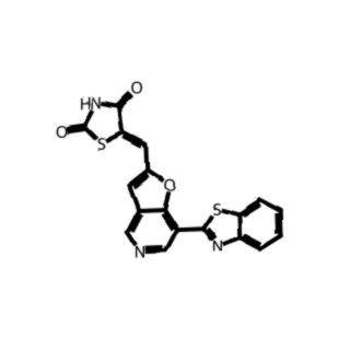 O=C1NC(=O)/C(=C/c2cc3cncc(-c4nc5ccccc5s4)c3o2)S1